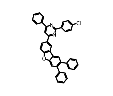 Clc1ccc(-c2nc(-c3ccccc3)cc(-c3ccc4oc5cc(-c6ccccc6)c(-c6ccccc6)cc5c4c3)n2)cc1